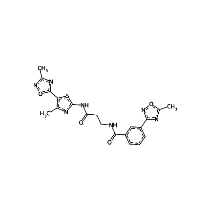 Cc1noc(-c2sc(NC(=O)CCNC(=O)c3cccc(-c4noc(C)n4)c3)nc2C)n1